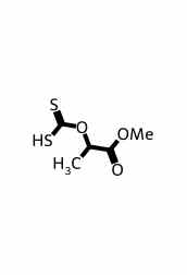 COC(=O)C(C)OC(=S)S